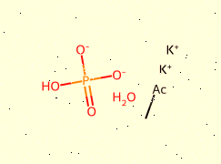 CC(C)=O.O.O=P([O-])([O-])O.[K+].[K+]